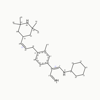 Cc1cc(/C(C=N)=C/NC2CCCCC2)ccc1C/C=C\C1CC(C)(C)NC(C)(C)C1